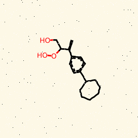 C=C(c1ccc(C2CCCCCC2)cc1)C(CO)OO